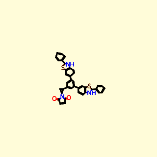 O=C1C=CC(=O)N1C1CC1c1cc(-c2ccc3c(c2)SC(c2ccccc2)N3)cc(-c2ccc3c(c2)SC(c2ccccc2)N3)c1